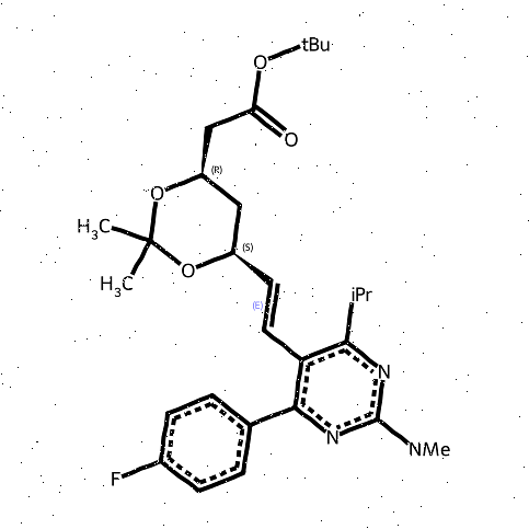 CNc1nc(-c2ccc(F)cc2)c(/C=C/[C@@H]2C[C@H](CC(=O)OC(C)(C)C)OC(C)(C)O2)c(C(C)C)n1